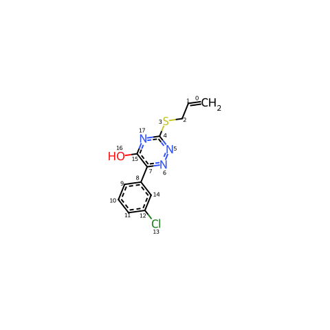 C=CCSc1nnc(-c2cccc(Cl)c2)c(O)n1